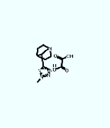 Cn1nnc(C2CN3CCC2CC3)n1.O=C(O)C(=O)O